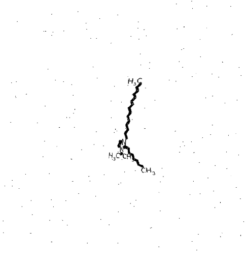 CCCCCCCCCCCCCCCCN1C=CN(C(C)C)C1CCCCCCCC